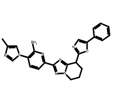 Bc1nc(-c2nc3n(n2)CCCC3c2ncc(-c3ccccc3)o2)ccc1-n1cnc(C)c1